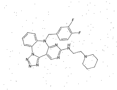 Fc1ccc(CN2c3ccccc3-n3nnnc3-c3cnc(NCCN4CCCCC4)nc32)cc1F